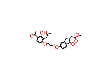 CCCc1c(OCCCOc2ccc3c(c2)CC(CC(=O)OC)C3=O)ccc(C(C)=O)c1O